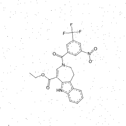 CCOC(=O)C1=CN(C(=O)c2cc([N+](=O)[O-])cc(C(F)(F)F)c2)CCc2c1[nH]c1ccccc21